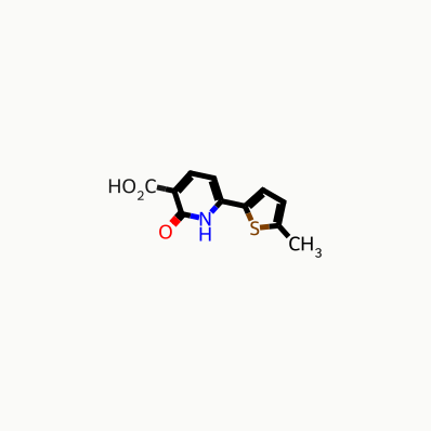 Cc1ccc(-c2ccc(C(=O)O)c(=O)[nH]2)s1